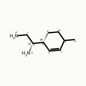 CC1C=C[C@H]([C@H](N)CN)CC1